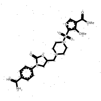 COC(=O)c1csc(S(=O)(=O)N2CCN(CC3CN(c4ccc(C(=N)N)cc4)C(=O)O3)CC2)c1OC